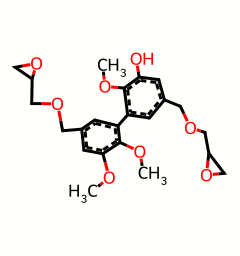 COc1cc(COCC2CO2)cc(-c2cc(COCC3CO3)cc(O)c2OC)c1OC